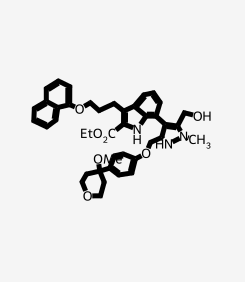 CCOC(=O)c1[nH]c2c(C3=C(CO)N(C)NC3COc3ccc(C4(OC)CCOCC4)cc3)cccc2c1CCCOc1cccc2ccccc12